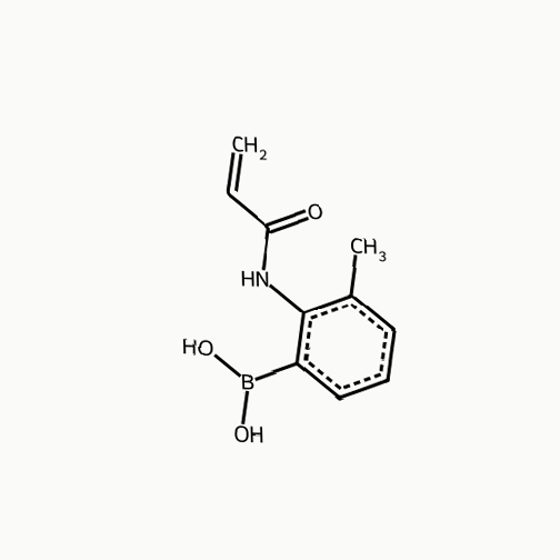 C=CC(=O)Nc1c(C)cccc1B(O)O